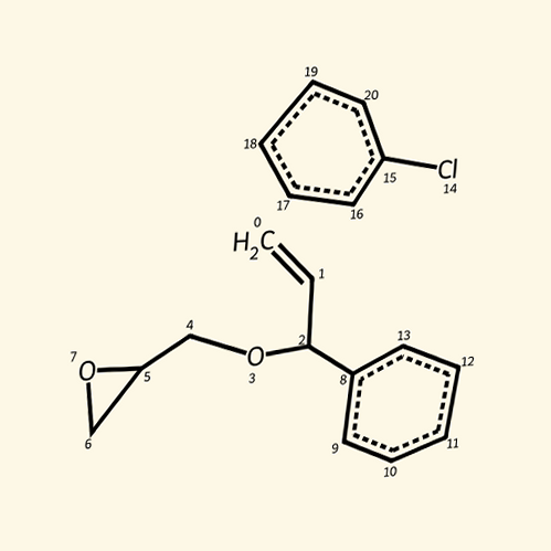 C=CC(OCC1CO1)c1ccccc1.Clc1ccccc1